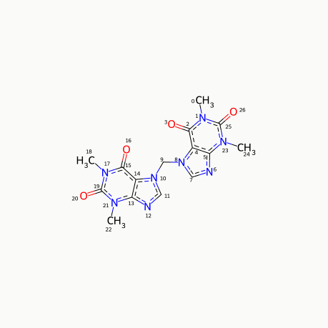 Cn1c(=O)c2c(ncn2Cn2cnc3c2c(=O)n(C)c(=O)n3C)n(C)c1=O